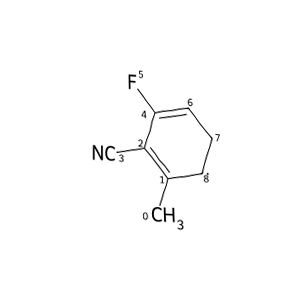 CC1=C(C#N)C(F)=CC[CH]1